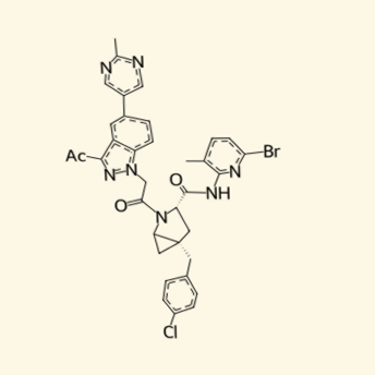 CC(=O)c1nn(CC(=O)N2C3C[C@]3(Cc3ccc(Cl)cc3)C[C@H]2C(=O)Nc2nc(Br)ccc2C)c2ccc(-c3cnc(C)nc3)cc12